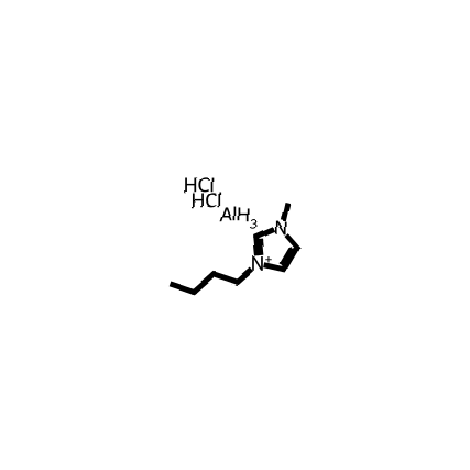 CCCC[n+]1ccn(C)c1.Cl.Cl.[AlH3]